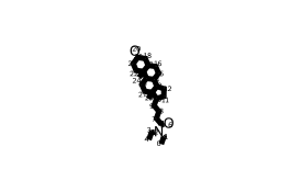 CCN(CC)C(=O)CCCC1CCC2C3CCC4CC(=O)CCC4(C)C3CCC12C